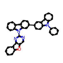 c1ccc(-n2c3ccccc3c3cc(-c4ccc5c6ccccc6n(-c6ncc7oc8ccccc8c7n6)c5c4)ccc32)cc1